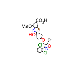 COc1cc(C(=O)O)cc2sc(C3(O)CCC(OCc4c(-c5c(Cl)cccc5Cl)noc4C4CC4)CC3)nc12